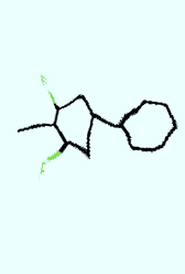 CC1C(F)CC(C2CCCCC2)CC1F